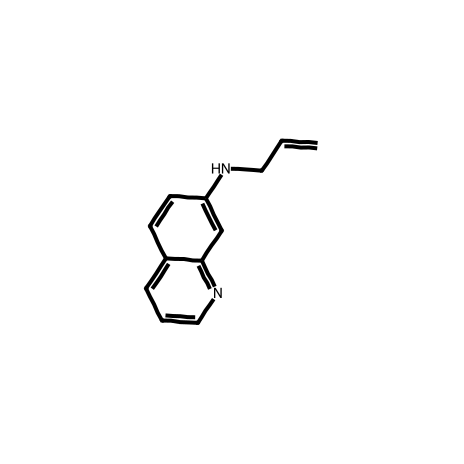 C=CCNc1ccc2cccnc2c1